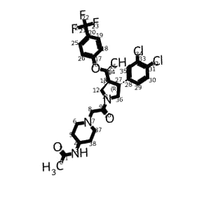 CC(=O)NC1CCN(CC(=O)N2C[C@@H]([C@@H](C)Oc3ccc(C(F)(F)F)cc3)[C@H](c3ccc(Cl)c(Cl)c3)C2)CC1